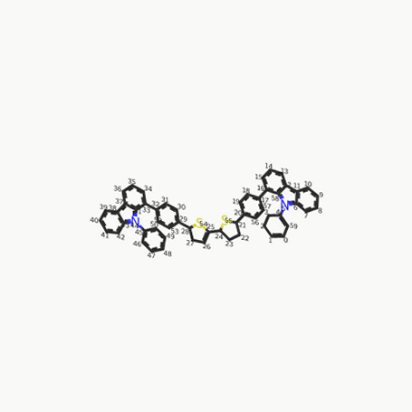 C1=CCCC(n2c3ccccc3c3cccc(-c4ccc(C5CCC(C6=CCC(c7ccc(-c8cccc9c%10ccccc%10n(-c%10ccccc%10)c89)cc7)S6)S5)cc4)c32)=C1